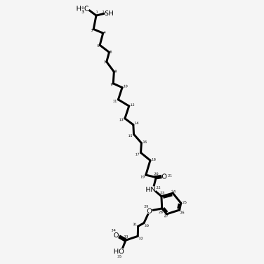 CC(S)CCCCCCCCCCCCCCCCCC(=O)Nc1ccccc1OCCCC(=O)O